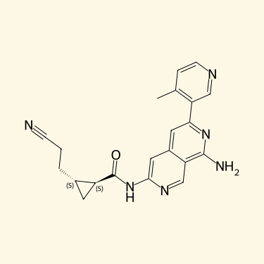 Cc1ccncc1-c1cc2cc(NC(=O)[C@H]3C[C@@H]3CCC#N)ncc2c(N)n1